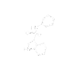 O=S(=O)(Nc1ccccc1)c1c[nH]c2ccccc12